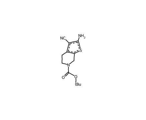 CC(C)(C)OC(=O)N1CCc2c(sc(N)c2C#N)C1